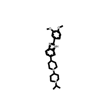 COc1ccc(-c2nc3ccc(C4CCN(C5CCN(C(C)C)CC5)CC4)cc3[nH]2)cc1OC